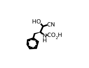 N#CC(O)[C@H](Cc1ccccc1)NC(=O)O